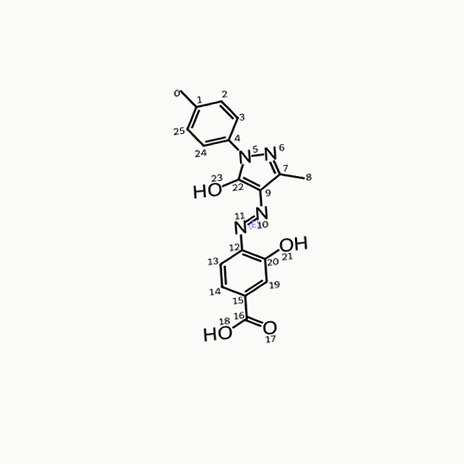 Cc1ccc(-n2nc(C)c(/N=N/c3ccc(C(=O)O)cc3O)c2O)cc1